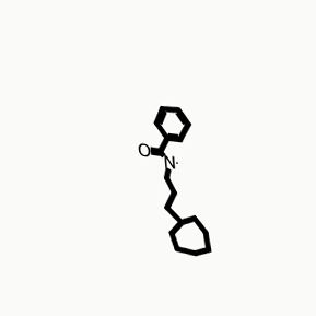 O=C([N]CCCC1CCCCCC1)c1ccccc1